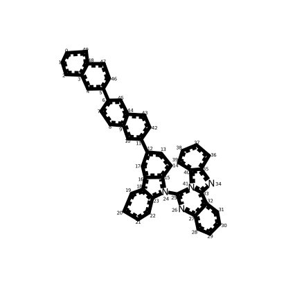 c1ccc2cc(-c3ccc4cc(-c5ccc6c(c5)c5ccccc5n6-c5nc6ccccc6c6nc7ccccc7n56)ccc4c3)ccc2c1